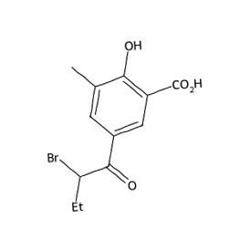 CCC(Br)C(=O)c1cc(C)c(O)c(C(=O)O)c1